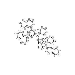 CC1(C)c2ccc3ccccc3c2-c2cccc(-c3ccc(-c4cc(-c5cccc6ccccc56)nc(-c5cccc6ccccc56)n4)c4ccccc34)c21